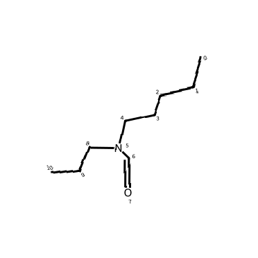 CCCCCN(C=O)CCC